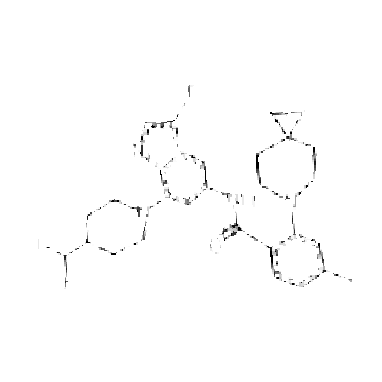 O=C(Nc1cc(N2CCC(C(F)F)CC2)c2ncc(F)n2c1)c1ccc(I)cc1N1CCC2(CC1)CC2